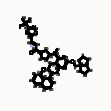 CN(c1nc(OCC23CCCN2CCC3)nc2c1CCN(c1cccc3cccc(Cl)c13)C2)C1CCN(C(=O)/C=C/c2nc(C(C)(F)F)no2)C1